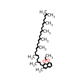 CCC(=O)Oc1c(C/C=C(\C)CC/C=C(\C)CC/C=C(\C)CC/C=C(\C)CC/C=C(\C)CC/C=C(\C)CCC=C(C)C)c(C)[c]c2ccccc12